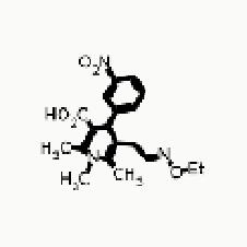 CCON=CCC1=C(C)N(C)C(C)=C(C(=O)O)C1c1cccc([N+](=O)[O-])c1